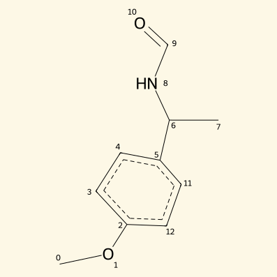 COc1ccc(C(C)NC=O)cc1